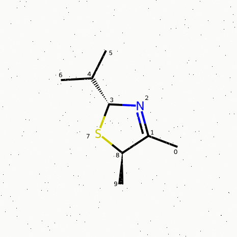 CC1=N[C@@H](C(C)C)S[C@@H]1C